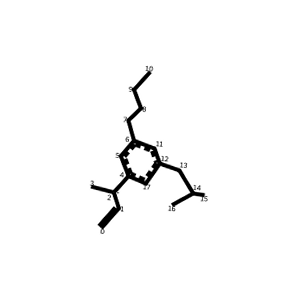 C=C[C](C)c1cc(CCCC)cc(CC(C)C)c1